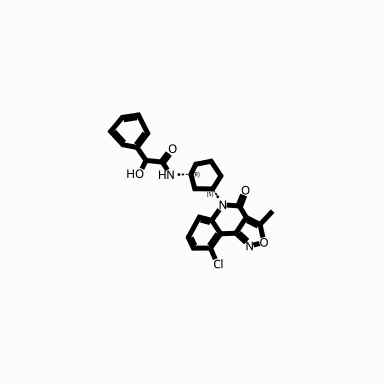 Cc1onc2c1c(=O)n([C@H]1CCC[C@@H](NC(=O)C(O)c3ccccc3)C1)c1cccc(Cl)c21